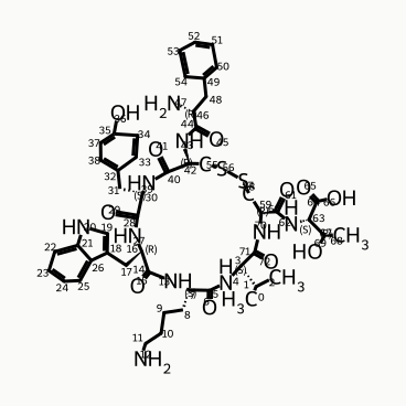 CC(C)[C@@H]1NC(=O)[C@H](CCCCN)NC(=O)[C@@H](Cc2c[nH]c3ccccc23)NC(=O)[C@H](Cc2ccc(O)cc2)NC(=O)[C@@H](NC(=O)[C@H](N)Cc2ccccc2)CSSC[C@@H](C(=O)N[C@H](C(=O)O)[C@@H](C)O)NC1=O